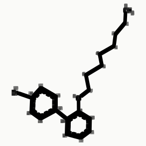 CCCCCCCCOc1ccccc1-c1ccc(Br)cc1